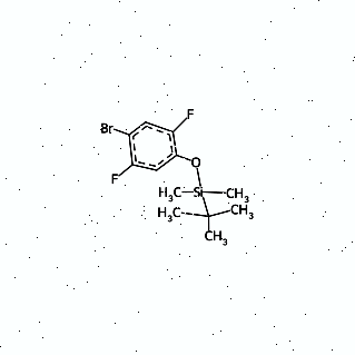 CC(C)(C)[Si](C)(C)Oc1cc(F)c(Br)cc1F